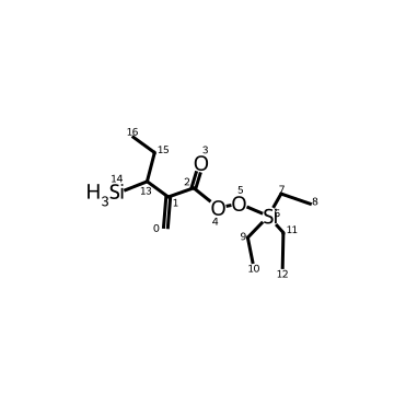 C=C(C(=O)OO[Si](CC)(CC)CC)C([SiH3])CC